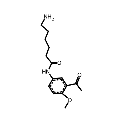 COc1ccc(NC(=O)CCCCCN)cc1C(C)=O